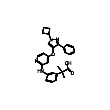 CC(C)(C(=O)O)c1cccc(Nc2cc(Oc3cn(C4CCC4)nc3-c3ccccc3)ccn2)c1